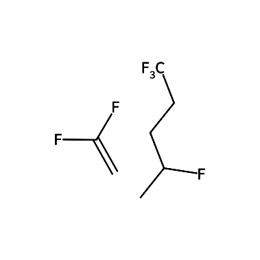 C=C(F)F.CC(F)CCC(F)(F)F